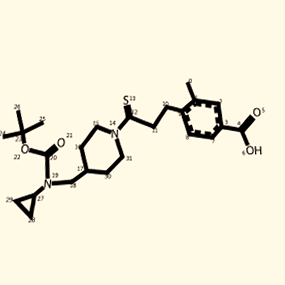 Cc1cc(C(=O)O)ccc1CCC(=S)N1CCC(CN(C(=O)OC(C)(C)C)C2CC2)CC1